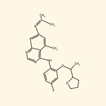 Cc1cc(N=S(C)C)cc2ncnc(Nc3ccc(F)cc3OC(C)C3CCCO3)c12